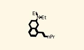 CCCC=Cc1cccc2c1CC(N(CC)CC)CC2